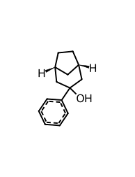 OC1(c2ccccc2)C[C@@H]2CC[C@@H](C2)C1